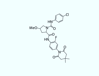 COC1CC(C(=O)Nc2ccc(N3C(=O)CC(C)(C)CC3=O)cc2F)N(C(=O)Nc2ccc(Cl)cc2)C1